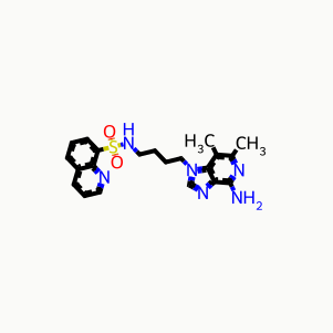 Cc1nc(N)c2ncn(CCCCNS(=O)(=O)c3cccc4cccnc34)c2c1C